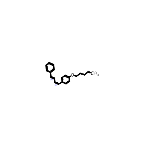 CCCCCOc1ccc(/C=C\C=C\c2ccccc2)cc1